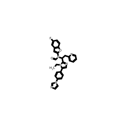 CCn1c(-c2ccc(-n3ccnc3)cc2)cnc1C(Cc1ccccn1)N(C=O)c1cc2cc(F)ccc2o1